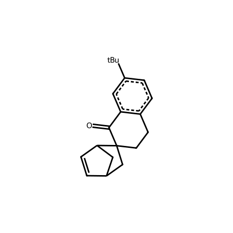 CC(C)(C)c1ccc2c(c1)C(=O)C1(CC2)CC2C=CC1C2